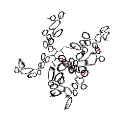 COc1cc(OC)c(C(=O)OOC(=O)OCCC(COC(=O)OOC(=O)c2cc(OC)c(OC)cc2OC)C(COC(=O)OOC(=O)c2cc(OC)c(OC)cc2OC)C(COC(=O)OOC(=O)c2cc(OC)c(OC)cc2OC)C(CCOC(=O)OOC(=O)c2cc(OC)c(OC)cc2OC)COC(=O)OOC(=O)c2cc(OC)c(OC)cc2OC)cc1OC